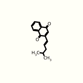 CC(C)CC=CC1=CC(=O)c2ccccc2C1=O